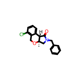 C[C@@]12CN(Cc3ccccc3)C(=O)[C@H]1c1cccc(Cl)c1CO2